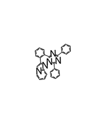 c1ccc(-c2nc(-c3ccccc3)nc(-c3ccccc3-c3cn4ccccc4n3)n2)cc1